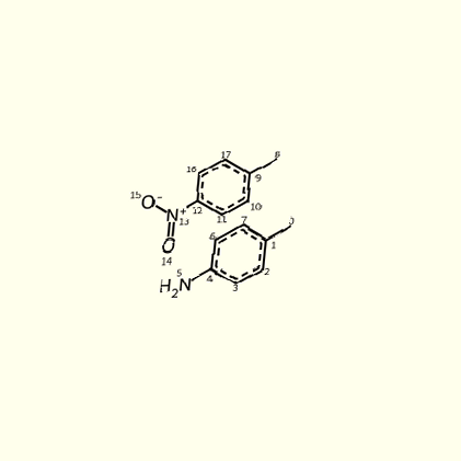 Cc1ccc(N)cc1.Cc1ccc([N+](=O)[O-])cc1